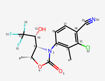 Cc1c(N2C(=O)O[C@H](C)[C@@H]2[C@@H](O)C(F)(F)F)ccc(C#N)c1Cl